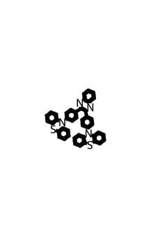 c1ccc2c(c1)Sc1ccccc1N2c1ccc(-c2nc3ccccc3nc2-c2ccc(N3c4ccccc4Sc4ccccc43)cc2)cc1